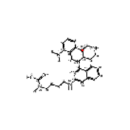 COc1cccc(N(C)C)c1CN(c1nc(NCCCCN(C)C(=O)O)nc2ccccc12)C1CCNCC1